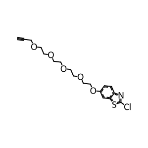 C#CCOCCOCCOCCOCCOc1ccc2nc(Cl)sc2c1